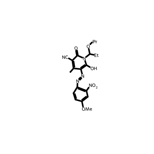 CCC(OC(C)C)n1c(O)c(N=Nc2ccc(OC)cc2[N+](=O)[O-])c(C)c(C#N)c1=O